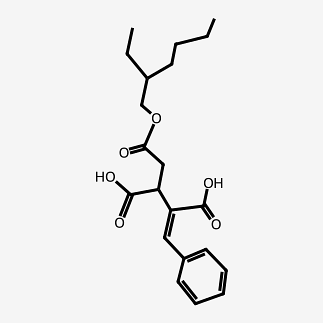 CCCCC(CC)COC(=O)CC(C(=O)O)C(=Cc1ccccc1)C(=O)O